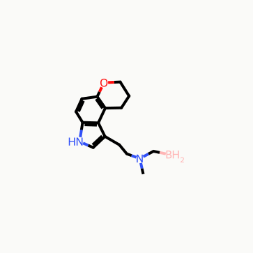 BCN(C)CCc1c[nH]c2ccc3c(c12)CCCO3